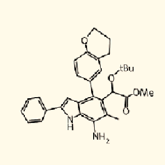 COC(=O)C(OC(C)(C)C)c1c(C)c(N)c2[nH]c(-c3ccccc3)cc2c1-c1ccc2c(c1)CCCO2